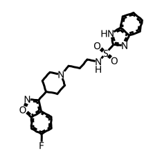 O=S(=O)(NCCCN1CCC(c2noc3cc(F)ccc23)CC1)c1nc2ccccc2[nH]1